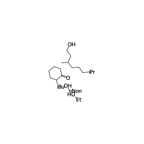 CC(C)CCCC(C)CCO.CCC(C)C1CCCCC1=O.CCCCCCCCCO.CCO